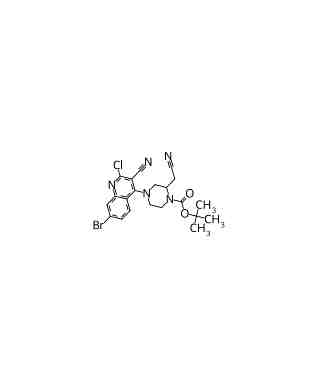 CC(C)(C)OC(=O)N1CCN(c2c(C#N)c(Cl)nc3cc(Br)ccc23)CC1CC#N